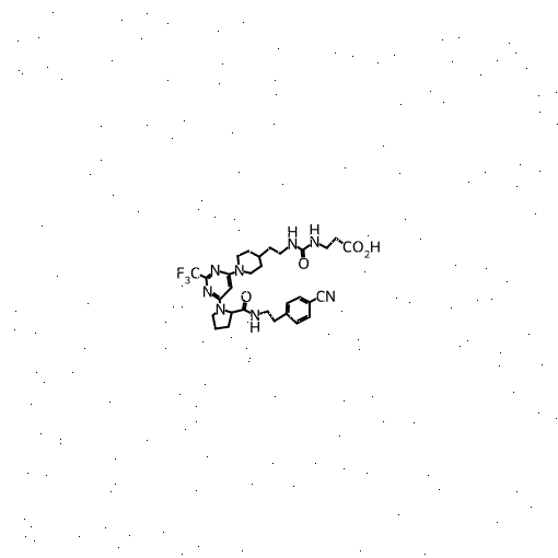 N#Cc1ccc(CCNC(=O)C2CCCN2c2cc(N3CCC(CCNC(=O)NCCC(=O)O)CC3)nc(C(F)(F)F)n2)cc1